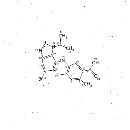 Cc1cc(F)c(Nc2nc(Br)cc3ncn(C(C)C)c23)cc1C(=O)O